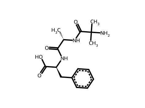 C[C@H](NC(=O)C(C)(C)N)C(=O)N[C@@H](Cc1ccccc1)C(=O)O